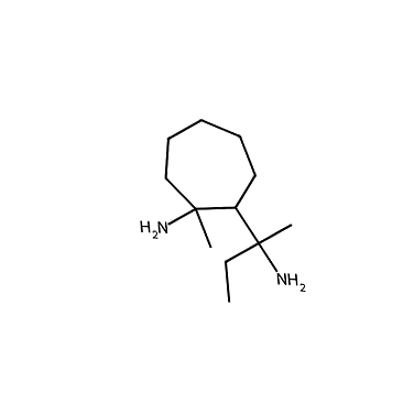 CCC(C)(N)C1CCCCCC1(C)N